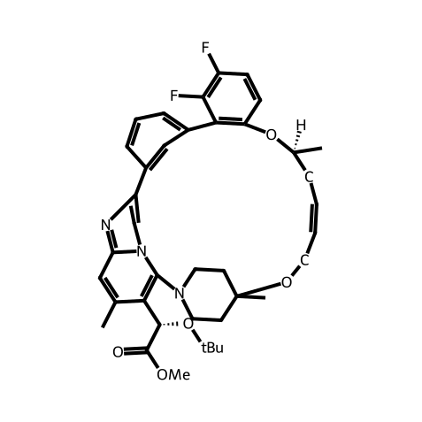 COC(=O)[C@@H](OC(C)(C)C)c1c(C)cc2nc3cn2c1N1CCC(C)(CC1)OC/C=C\C[C@H](C)Oc1ccc(F)c(F)c1-c1cccc-3c1